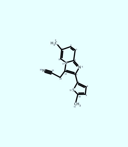 Cc1ccc2nc(-c3ccc(C)s3)c(CC#N)n2c1